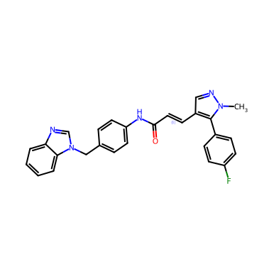 Cn1ncc(/C=C/C(=O)Nc2ccc(Cn3cnc4ccccc43)cc2)c1-c1ccc(F)cc1